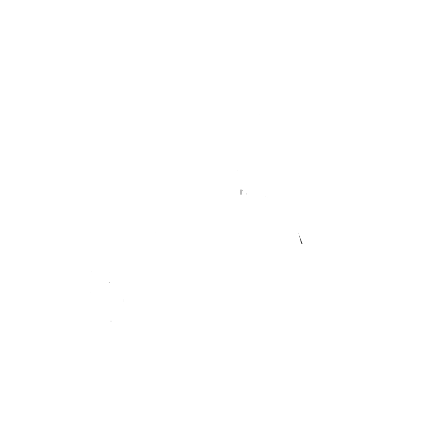 C[C@@H](OC(=O)Nc1cc(SF)ccc1-c1ccc(-c2ccc(C3(C(=O)O)CC3)cc2)cc1)c1ccccc1Cl